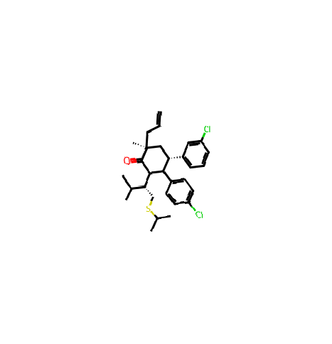 C=CC[C@@]1(C)C[C@H](c2cccc(Cl)c2)C(c2ccc(Cl)cc2)C([C@H](CSC(C)C)C(C)C)C1=O